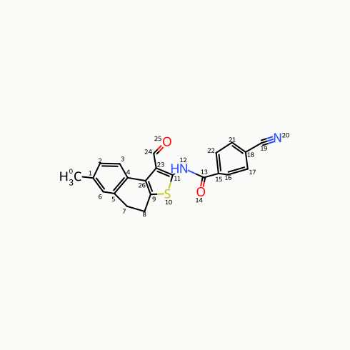 Cc1ccc2c(c1)CCc1sc(NC(=O)c3ccc(C#N)cc3)c(C=O)c1-2